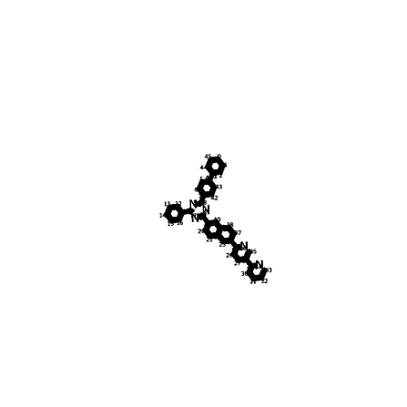 c1ccc(-c2ccc(-c3nc(-c4ccccc4)nc(-c4ccc5cc(-c6ccc(-c7ccccn7)cn6)ccc5c4)n3)cc2)cc1